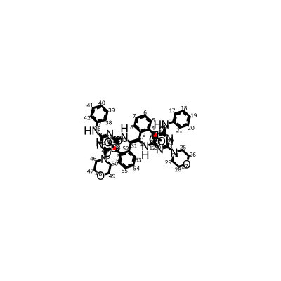 O=S(=O)(O)c1ccccc1C(Nc1nc(Nc2ccccc2)nc(N2CCOCC2)n1)=C(Nc1nc(Nc2ccccc2)nc(N2CCOCC2)n1)c1ccccc1S(=O)(=O)O